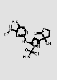 BC(O)(O)n1nc(C2(C)CCOC2=O)cc1Nc1ncc(C(F)(F)F)c(NCC)n1